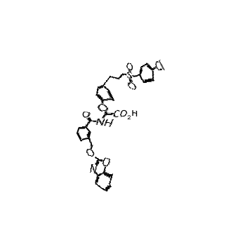 O=C(NC(Oc1ccc(CCCS(=O)(=O)c2ccc(Cl)cc2)cc1)C(=O)O)c1cccc(COc2nc3ccccc3o2)c1